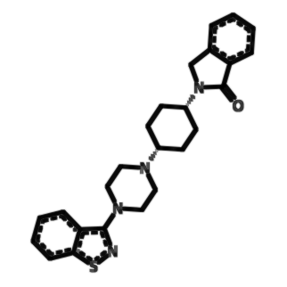 O=C1c2ccccc2CN1[C@H]1CC[C@@H](N2CCN(c3nsc4ccccc34)CC2)CC1